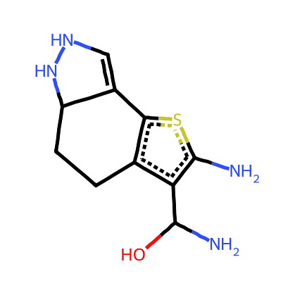 Nc1sc2c(c1C(N)O)CCC1NNC=C21